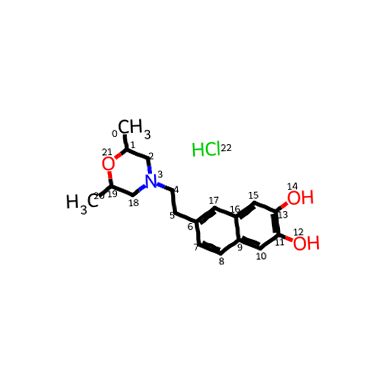 CC1CN(CCc2ccc3cc(O)c(O)cc3c2)CC(C)O1.Cl